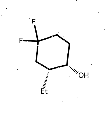 CC[C@@H]1CC(F)(F)CC[C@@H]1O